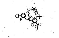 CCOC(=O)c1cn([C@H](CO[Si](C)(C)C(C)(C)C)C(C)(C)C)c2nc(CCCO)c(Cc3cccc(Cl)c3F)cc2c1=O